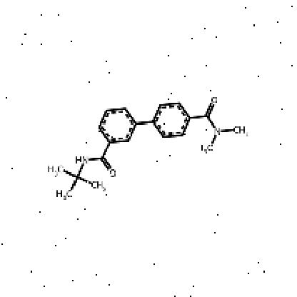 CN(C)C(=O)c1ccc(-c2cccc(C(=O)NC(C)(C)C)c2)cc1